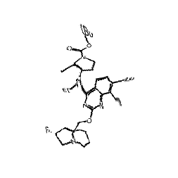 CCN(c1nc(OC[C@@]23CCCN2C[C@H](F)C3)nc2c(I)c(Br)ccc12)C1CCN(C(=O)OC(C)(C)C)C1C